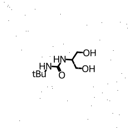 CC(C)(C)NC(=O)NC(CO)CO